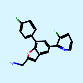 NCc1cc2cc(-c3nc[c]cc3F)cc(-c3ccc(F)cc3)c2o1